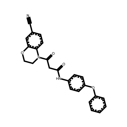 N#Cc1ccc2c(c1)OCCN2C(=O)CC(=O)Nc1ccc(Oc2ccccc2)cc1